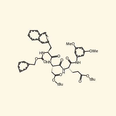 COc1cc(NC(=O)[C@H](CCC(=O)OC(C)(C)C)NC(=O)[C@H](CC(=O)OC(C)(C)C)NC(=O)[C@H](Cc2ccc3ccccc3c2)NC(=O)OCc2ccccc2)cc(OC)c1